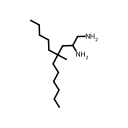 CCCCCCC(C)(CCCCC)CC(N)CN